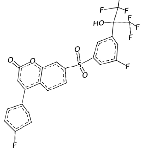 O=c1cc(-c2ccc(F)cc2)c2ccc(S(=O)(=O)c3cc(F)cc(C(O)(C(F)(F)F)C(F)(F)F)c3)cc2o1